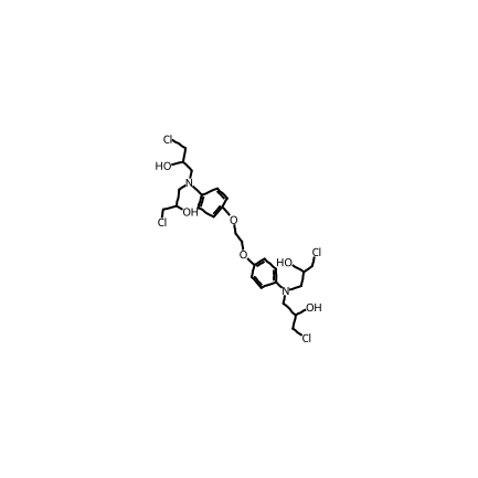 OC(CCl)CN(CC(O)CCl)c1ccc(OCCOc2ccc(N(CC(O)CCl)CC(O)CCl)cc2)cc1